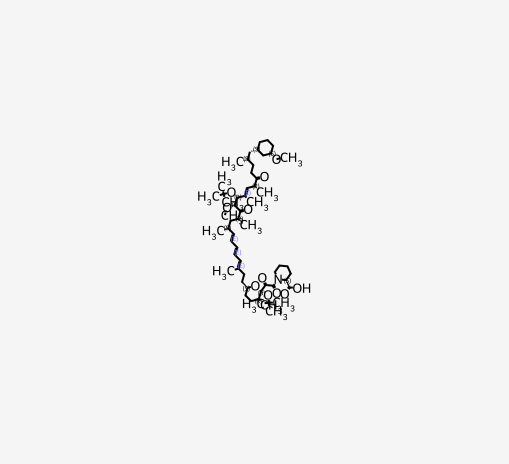 CO[C@H]1CCC[C@@H](C[C@@H](C)CCC(=O)[C@H](C)/C=C(\C)[C@@H](OC(C)(C)C)[C@@H](OC)C(=O)[C@H](C)C[C@H](C)/C=C/C=C/C=C(\C)CC[C@@H]2CC[C@@H](C)[C@](OC(C)(C)C)(C(=O)C(=O)N3CCCC[C@H]3C(=O)O)O2)C1